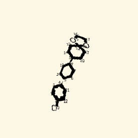 Clc1ccc([C@H]2CC[C@H](C3CCC4(CC3)OCCO4)CC2)cc1